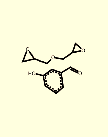 C(OCC1CO1)C1CO1.O=Cc1cccc(O)c1